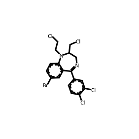 ClCCN1c2ccc(Br)cc2C(c2ccc(Cl)c(Cl)c2)=NCC1CCl